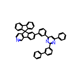 c1ccc(-c2cccc(-c3nc(-c4ccccc4)cc(-c4cccc(-c5ccc6c(c5)C5(c7ccccc7-c7ccccc75)c5ccncc5-6)c4)n3)c2)cc1